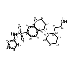 O=S(=O)(Nc1ncns1)c1ccc2c(c1)OCC[C@@H]2N1CCCC[C@H]1CCO